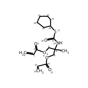 C=CC(=O)OCC(C)(COC(=O)C=C)NC(=O)SC1CCCCC1